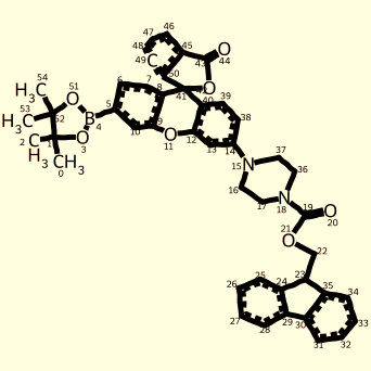 CC1(C)OB(c2ccc3c(c2)Oc2cc(N4CCN(C(=O)OCC5c6ccccc6-c6ccccc65)CC4)ccc2C32OC(=O)c3ccccc32)OC1(C)C